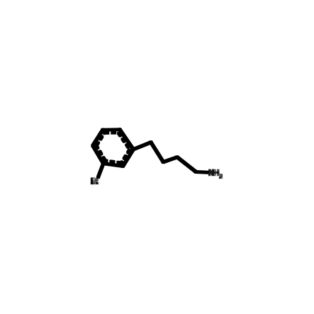 CCc1cccc(CCCCN)c1